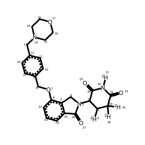 [2H]C1C(N2Cc3c(OCc4ccc(CN5CCOCC5)cc4)cccc3C2=O)C(=O)N([2H])C(=O)C1([2H])[2H]